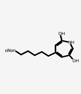 CCCCCCCCCCCCCCC1=CC(O)=CNC(O)=C1